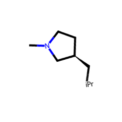 CC(C)C[C@@H]1CCN(C)C1